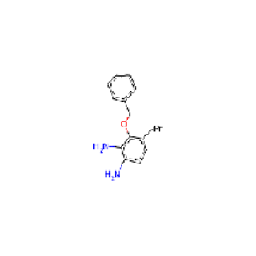 CC(C)c1ccc(N)c(N)c1OCc1ccccc1